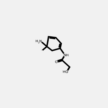 [CH2]C1(N)C=CC=C(NC(=O)CO)C1